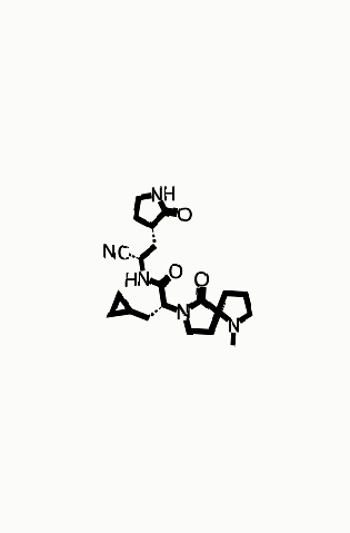 CN1CCCC12CCN([C@H](CC1CC1)C(=O)N[C@H](C#N)C[C@@H]1CCNC1=O)C2=O